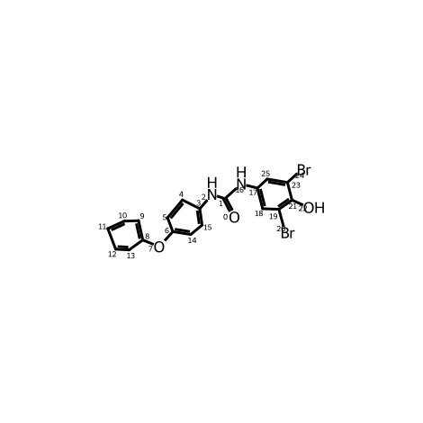 O=C(Nc1ccc(Oc2ccccc2)cc1)Nc1cc(Br)c(O)c(Br)c1